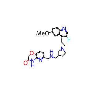 COc1ccc2ncc(F)c(CCN3CC[C@@H](CNCc4ccc5c(n4)NC(=O)CO5)C3)c2c1